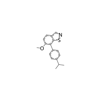 COc1ccc2cnsc2c1-c1ccc(C(C)C)cc1